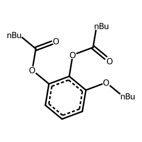 CCCCOc1cccc(OC(=O)CCCC)c1OC(=O)CCCC